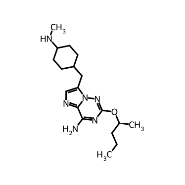 CCC[C@H](C)Oc1nc(N)c2ncc(CC3CCC(NC)CC3)n2n1